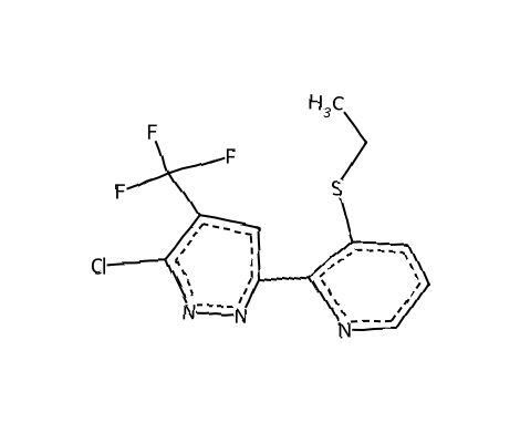 CCSc1cccnc1-c1cc(C(F)(F)F)c(Cl)nn1